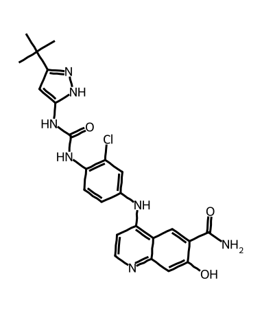 CC(C)(C)c1cc(NC(=O)Nc2ccc(Nc3ccnc4cc(O)c(C(N)=O)cc34)cc2Cl)[nH]n1